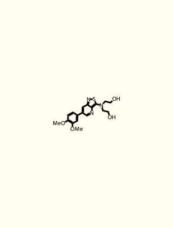 COc1ccc(-c2cnc3c(N(CCO)CCO)snc3c2)cc1OC